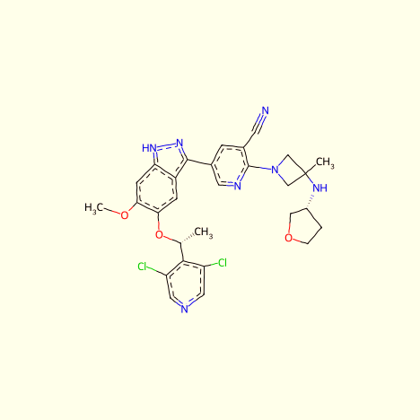 COc1cc2[nH]nc(-c3cnc(N4CC(C)(N[C@@H]5CCOC5)C4)c(C#N)c3)c2cc1O[C@H](C)c1c(Cl)cncc1Cl